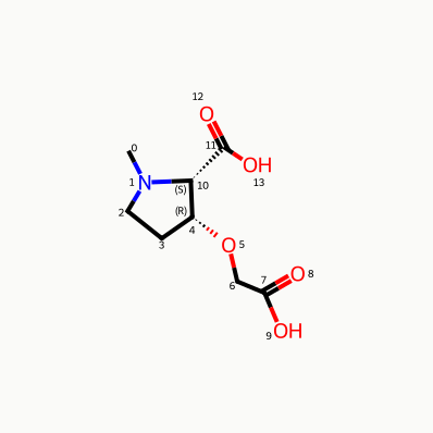 CN1CC[C@@H](OCC(=O)O)[C@H]1C(=O)O